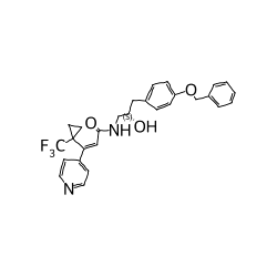 O=C(C=C(c1ccncc1)C1(C(F)(F)F)CC1)NC[C@@H](O)Cc1ccc(OCc2ccccc2)cc1